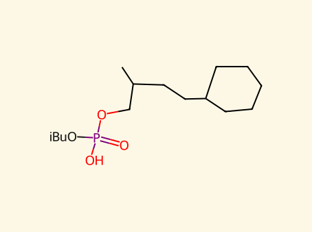 CC(C)COP(=O)(O)OCC(C)CCC1CCCCC1